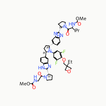 CCC1(COc2c(F)cc(N3[C@@H](c4ccc5[nH]c([C@@H]6CCCN6C(=O)CNC(=O)OC)nc5c4)CC[C@@H]3c3ccc4[nH]c([C@@H]5CCCN5C(=O)C(NC(=O)OC)C(C)C)nc4c3)cc2F)COC1